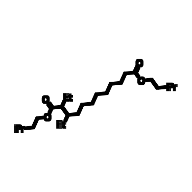 CCC(CCCCCCCCC(=O)OCCC(C)C)C(CC)C(=O)OCCC(C)C